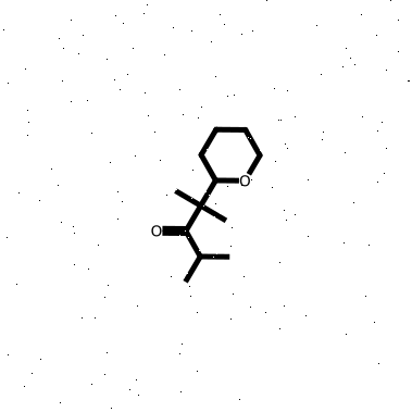 CC(C)C(=O)C(C)(C)C1CCCCO1